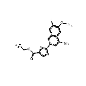 CCOC(=O)c1cnc(-c2cc(O)c3cc(OC)c(F)cc3c2)s1